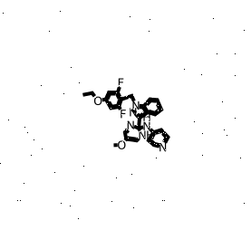 CCOc1cc(F)c(Cn2nc(C3(Nc4ccncc4)N=CC(OC)=CN3)c3ccccc32)c(F)c1